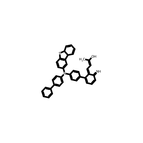 C/C(O)=C\C=C1/C(=N)C=CC=C1c1ccc(N(c2ccc(-c3ccccc3)cc2)c2ccc3c(c2)C2C=CC=CC2S3)cc1